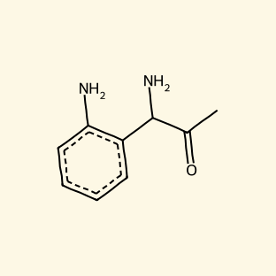 CC(=O)C(N)c1ccccc1N